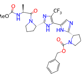 COC(=O)N[C@@H](C)C(=O)N1CCC[C@H]1c1nc(C(F)(F)F)c(-c2cnc([C@@H]3CCCN3C(=O)OCc3ccccc3)[nH]2)[nH]1